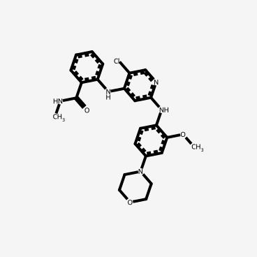 CNC(=O)c1ccccc1Nc1cc(Nc2ccc(N3CCOCC3)cc2OC)ncc1Cl